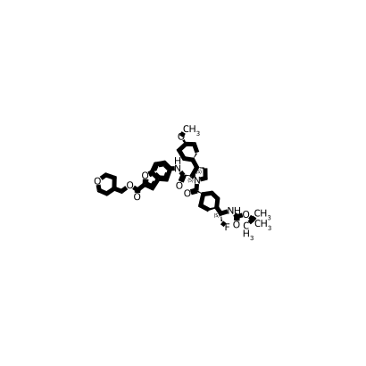 CO[C@H]1CC[C@H]([C@@H]2CCN(C(=O)[C@H]3CC[C@H]([C@@H](CF)NC(=O)OC(C)(C)C)CC3)[C@@H]2C(=O)Nc2ccc3oc(C(=O)OCC4CCOCC4)cc3c2)CC1